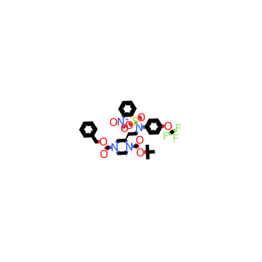 CC(C)(C)OC(=O)N1CCN(C(=O)OCc2ccccc2)C[C@H]1CCN(c1ccc(OC(F)(F)F)cc1)S(=O)(=O)c1ccccc1[N+](=O)[O-]